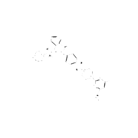 Cc1cc(C#N)nc(N2CCN(S(=O)(=O)c3ccc(NC(=O)c4ccccc4OS(=O)(=O)N4CCNCC4)cc3)CC2)n1